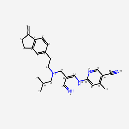 C=C1CCc2cc(CCN(C/C(C=N)=C/Nc3cc(C)c(C#N)cn3)CC(C)C)ccc21